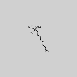 CC=CCCCCCC(C)(C)C=O